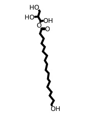 O=C(CCCCCCCCCCCCCCCCCO)OC(O)C(O)CO